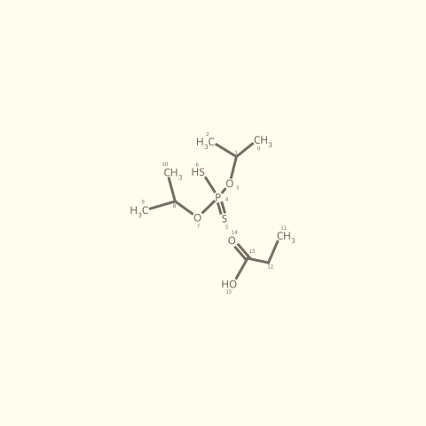 CC(C)OP(=S)(S)OC(C)C.CCC(=O)O